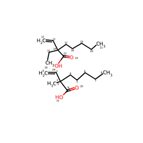 C=CC(C)(CCCCC)C(=O)O.C=CC(CC)(CCCCC)C(=O)O